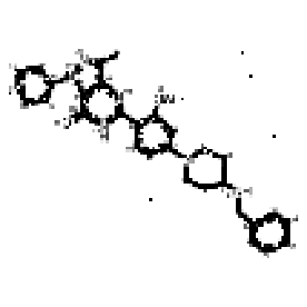 COc1cc(N2CCC(NCc3ccccc3)CC2)ccc1-c1nc2c(C)nn(-c3ccccc3)c2c(=O)[nH]1